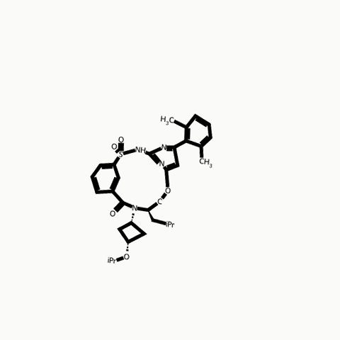 Cc1cccc(C)c1-c1cc2nc(n1)NS(=O)(=O)c1cccc(c1)C(=O)N([C@H]1C[C@@H](OC(C)C)C1)[C@H](CC(C)C)CO2